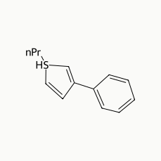 CCC[SH]1C=CC(c2ccccc2)=C1